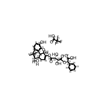 CN1CC[C@]23c4c5ccc(O)c4O[C@H]2C(OC(=O)[C@H](O)[C@@H](O)C(=O)O[C@@H](C(=O)O)c2ccccc2)=CC[C@@]3(O)[C@H]1C5.O=C(O)C(F)(F)F